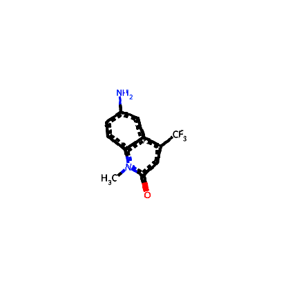 Cn1c(=O)cc(C(F)(F)F)c2cc(N)ccc21